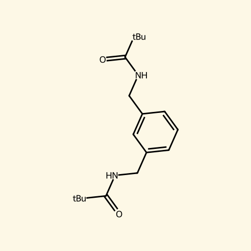 CC(C)(C)C(=O)NCc1cccc(CNC(=O)C(C)(C)C)c1